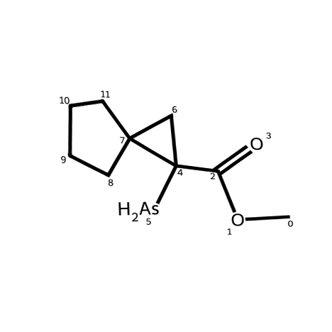 COC(=O)C1([AsH2])CC12CCCC2